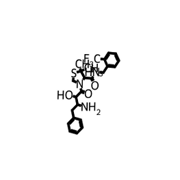 CC1(C)SCN(C(=O)C(O)C(N)Cc2ccccc2)C1C(=O)NCc1ccccc1C(F)(F)F